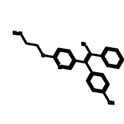 CCC(=C(c1ccc(O)cc1)c1ccc(OCCNC)nc1)c1ccccc1